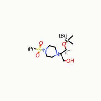 CC(C)S(=O)(=O)N1CCN([C@H](CO)[C@@H](C)O[Si](C)(C)C(C)(C)C)CC1